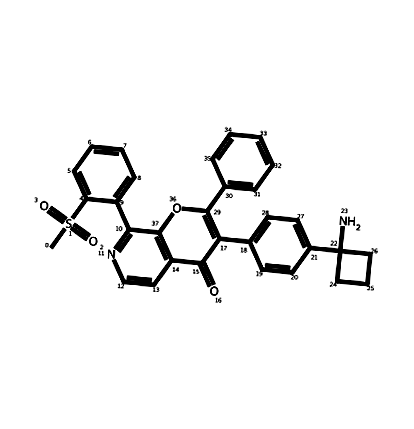 CS(=O)(=O)c1ccccc1-c1nccc2c(=O)c(-c3ccc(C4(N)CCC4)cc3)c(-c3ccccc3)oc12